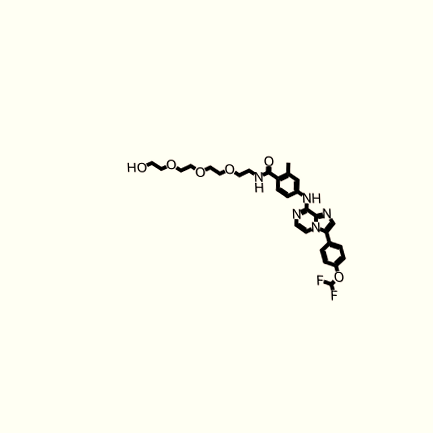 Cc1cc(Nc2nccn3c(-c4ccc(OC(F)F)cc4)cnc23)ccc1C(=O)NCCOCCOCCOCCO